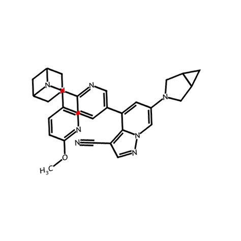 COc1ccc(CN2C3CC2CN(c2ccc(-c4cc(N5CC6CC6C5)cn5ncc(C#N)c45)cn2)C3)cn1